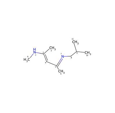 CNC(C)=CC(C)=NCC(C)C